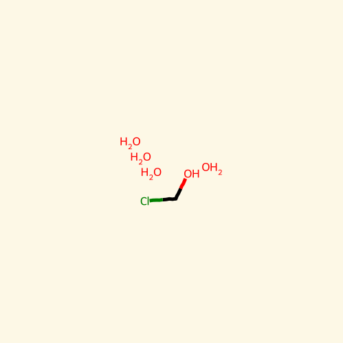 O.O.O.O.OCCl